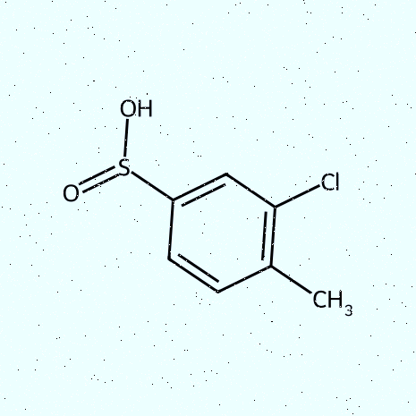 Cc1ccc(S(=O)O)cc1Cl